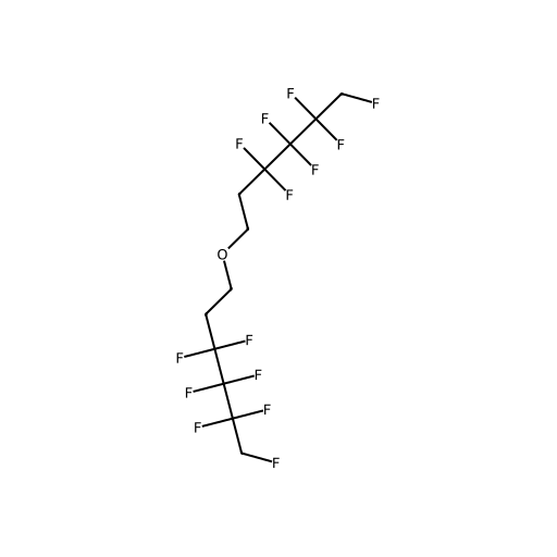 FCC(F)(F)C(F)(F)C(F)(F)CCOCCC(F)(F)C(F)(F)C(F)(F)CF